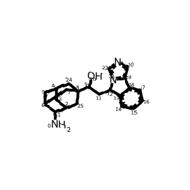 NC1C2CC3CC1CC(C(O)CC1c4ccccc4-c4cncn41)(C3)C2